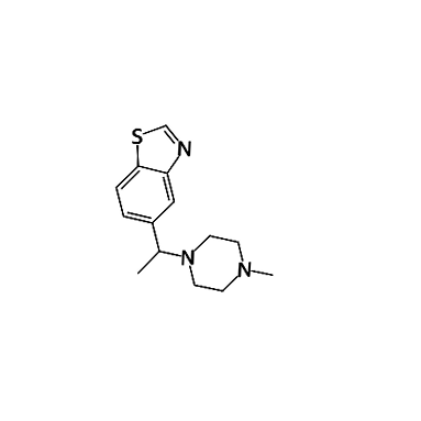 CC(c1ccc2scnc2c1)N1CCN(C)CC1